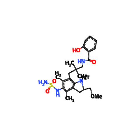 CCCN1c2c(c(C)c(NS(N)(=O)=O)c(C)c2CC(C)(C)CNC(=O)c2ccccc2O)CC1COC